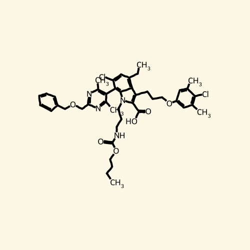 CCCCOC(=O)NCCCn1c(C(=O)O)c(CCCOc2cc(C)c(Cl)c(C)c2)c2c(CC)cc(Cl)c(-c3c(C)nc(COCc4ccccc4)nc3C)c21